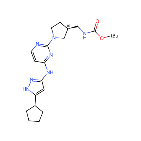 CC(C)(C)OC(=O)NC[C@@H]1CCN(c2nccc(Nc3cc(C4CCCC4)[nH]n3)n2)C1